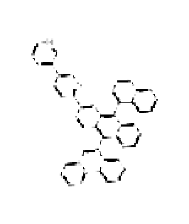 c1cncc(-c2ccc(-c3ccc4c(-c5cc6ccccc6c6ccccc56)c5ccccc5c(-c5cccc6ccccc56)c4c3)nc2)c1